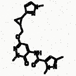 Cc1cc(C(=O)Nc2cc(OCC3CC3c3ccn(C)n3)nn(C)c2=O)n(C)n1